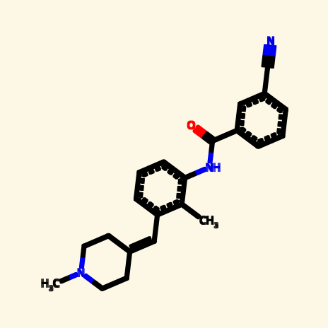 Cc1c(C=C2CCN(C)CC2)cccc1NC(=O)c1cccc(C#N)c1